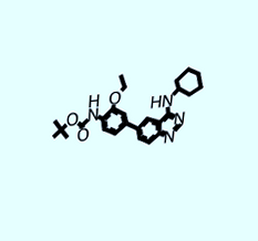 CCOc1cc(-c2ccc3ncnc(NC4CCCCC4)c3c2)ccc1NC(=O)OC(C)(C)C